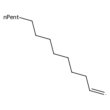 [CH]=CCCCCCCCCCCC[CH2]